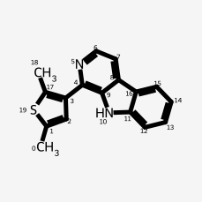 Cc1cc(-c2nccc3c2[nH]c2ccccc23)c(C)s1